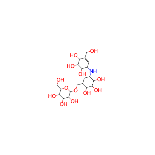 OCC1=CC(NC2CC(COC3OC(CO)C(O)C(O)C3O)C(O)C(O)C2O)C(O)C(O)C1O